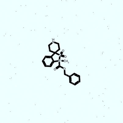 C[N+]1(C(=O)OCc2ccccc2)c2ccccc2C2(CCNCC2)S1(=O)=O